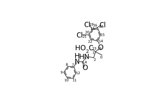 CC(CNC(=O)Nc1ccccc1)(Oc1cc(Cl)c(Cl)c(Cl)c1)C(=O)O